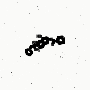 Br.CC(C)(CN1CCCC1)c1ccc2cc(OC(=O)c3ccccc3)ccc2c1